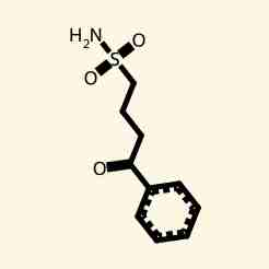 NS(=O)(=O)CCCC(=O)c1ccccc1